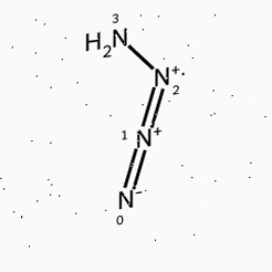 [N-]=[N+]=[N+]N